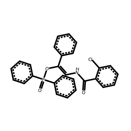 O=C(NC=C(OP(=O)(c1ccccc1)c1ccccc1)c1ccccc1)c1ccccc1Cl